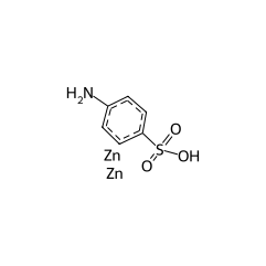 Nc1ccc(S(=O)(=O)O)cc1.[Zn].[Zn]